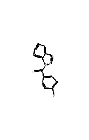 O=C(c1ccc(Cl)cc1)n1nnc2ccccc21